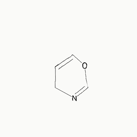 C1=COC=NC1